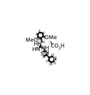 CC(=O)O.COc1cccc(OC)c1CNC(=N)Nc1nc(-c2cccnc2)cs1